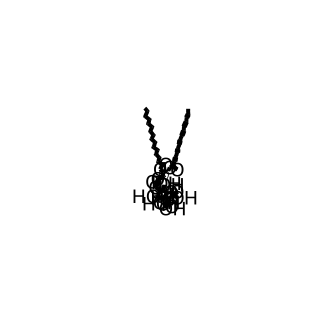 CC#CC#CC#CC#CC#CC#CC(=O)OC[C@H](COP(=O)(O)OC1C(O)[C@@H](OP(=O)(O)O)C(OP(=O)(O)O)[C@@H](O)[C@H]1O)OC(=O)CCCCCCCCCCCCCCC